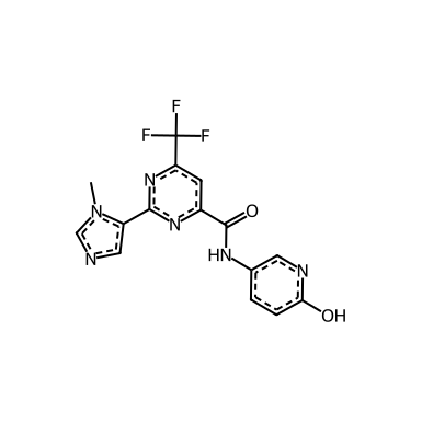 Cn1cncc1-c1nc(C(=O)Nc2ccc(O)nc2)cc(C(F)(F)F)n1